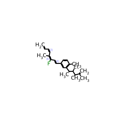 C=C\C=C/C(C)=C(F)\C=C\c1ccc(C)c(C(C)C(CC)C(C)C(=C)C)c1